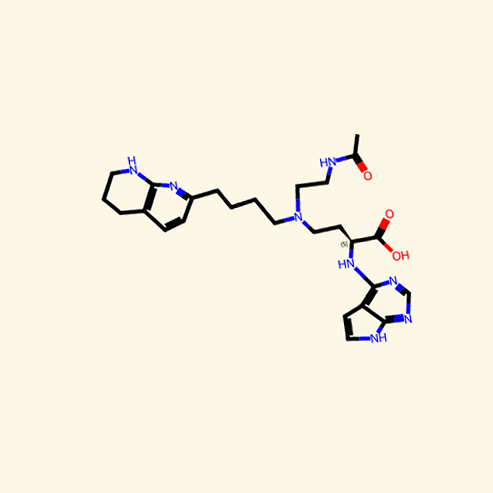 CC(=O)NCCN(CCCCc1ccc2c(n1)NCCC2)CC[C@H](Nc1ncnc2[nH]ccc12)C(=O)O